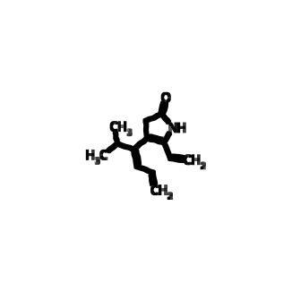 C=C/C=C(\C1=C(C=C)NC(=O)C1)C(C)C